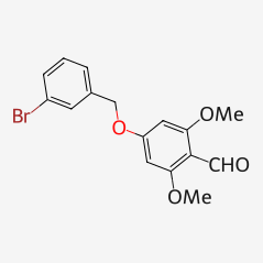 COc1cc(OCc2cccc(Br)c2)cc(OC)c1C=O